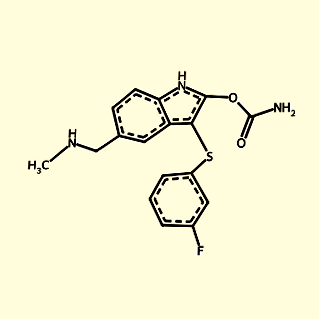 CNCc1ccc2[nH]c(OC(N)=O)c(Sc3cccc(F)c3)c2c1